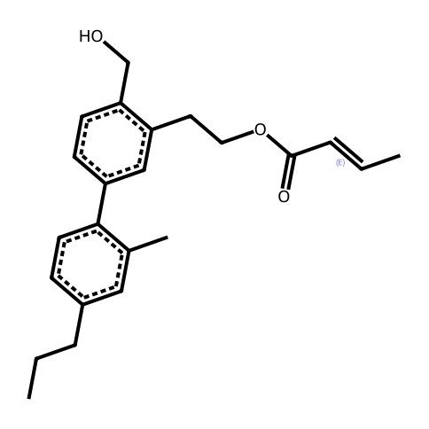 C/C=C/C(=O)OCCc1cc(-c2ccc(CCC)cc2C)ccc1CO